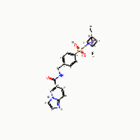 O=C(NCc1ccc(S(=O)(=O)N2C[C@H]3C[C@@H]2C3)cc1)c1ccc2nccn2c1